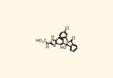 O=C(O)Nc1nc2cc(C3(O)c4ccccc4C(=O)N3c3cccc(Cl)c3)ccc2[nH]1